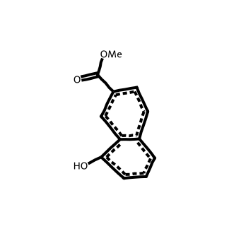 COC(=O)c1ccc2cccc(O)c2c1